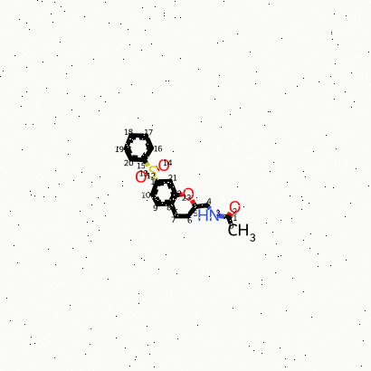 CC(=O)NCC1CCc2ccc(S(=O)(=O)c3ccccc3)cc2O1